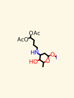 CC(=O)OC(CCCNC1CC(OI)OC(C)C1O)OC(C)=O